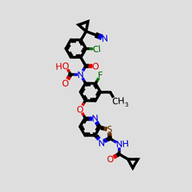 CCc1cc(Oc2ccc3nc(NC(=O)C4CC4)sc3n2)cc(N(C(=O)O)C(=O)c2cccc(C3(C#N)CC3)c2Cl)c1F